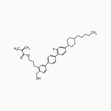 C=C(C)C(=O)OCCCc1cc(-c2ccc(-c3ccc(C4CCC(CCCCC)CC4)cc3F)cc2)ccc1CO